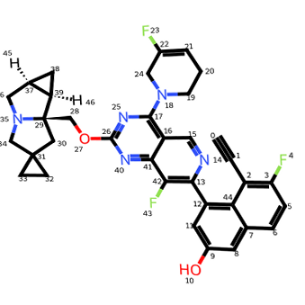 C#Cc1c(F)ccc2cc(O)cc(-c3ncc4c(N5CCC=C(F)C5)nc(OC[C@@]56CC7(CC7)CN5C[C@H]5C[C@H]56)nc4c3F)c12